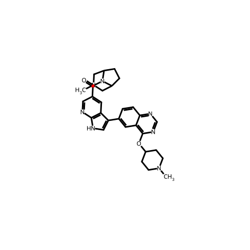 CN1CCC(Oc2ncnc3ccc(-c4c[nH]c5ncc(C(=O)N6C7CCC6CN(C)C7)cc45)cc23)CC1